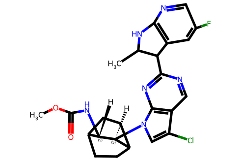 COC(=O)N[C@H]1C2CCC(CC2)[C@@H]1n1cc(Cl)c2cnc(C3c4cc(F)cnc4NC3C)nc21